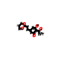 CCCC(=O)C1C(=O)CC(CCC2OCCCO2)CC1=O